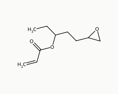 C=CC(=O)OC(CC)CCC1CO1